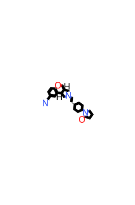 N#Cc1ccc2c(c1)[C@@H]1CN(CC[C@H]3CC[C@H](N4CCCC4=O)CC3)C[C@H]1CO2